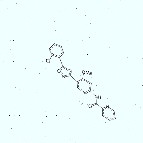 COc1cc(NC(=O)c2ccccn2)ccc1-c1noc(-c2ccccc2Cl)n1